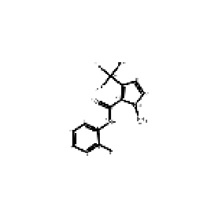 Cc1ccccc1NC(=O)c1c(C(F)(F)F)ccn1N